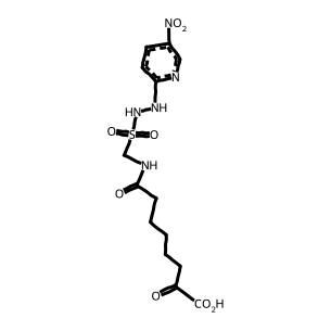 O=C(CCCCCC(=O)C(=O)O)NCS(=O)(=O)NNc1ccc([N+](=O)[O-])cn1